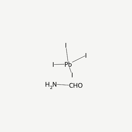 NC=O.[I][Pb]([I])([I])[I]